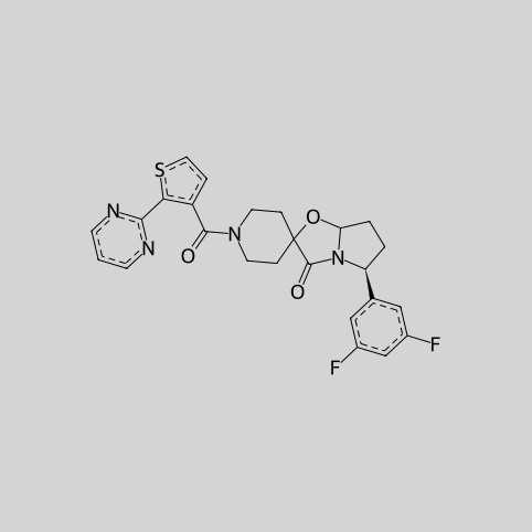 O=C(c1ccsc1-c1ncccn1)N1CCC2(CC1)OC1CC[C@@H](c3cc(F)cc(F)c3)N1C2=O